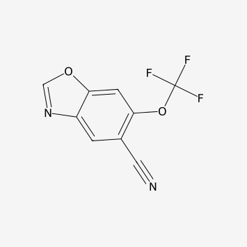 N#Cc1cc2ncoc2cc1OC(F)(F)F